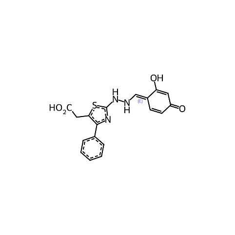 O=C1C=C/C(=C\NNc2nc(-c3ccccc3)c(CC(=O)O)s2)C(O)=C1